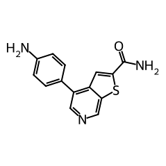 NC(=O)c1cc2c(-c3ccc(N)cc3)cncc2s1